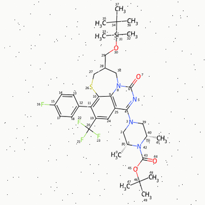 C[C@@H]1CN(c2nc(=O)n3c4c(c(-c5ccc(F)cc5)c(C(F)(F)F)cc24)SCC(CO[Si](C)(C)C(C)(C)C)C3)C[C@H](C)N1C(=O)OC(C)(C)C